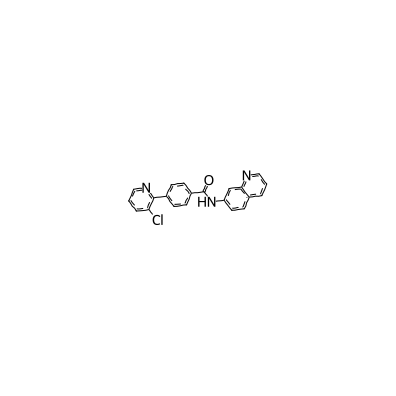 O=C(Nc1ccc2cccnc2c1)c1ccc(-c2ncccc2Cl)cc1